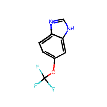 FC(F)(F)Oc1ccc2nc[nH]c2c1